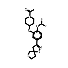 CC(=O)N1CCC(Oc2cc(C3=NOC4(CCOC4)C3)ccc2OC(F)F)CC1